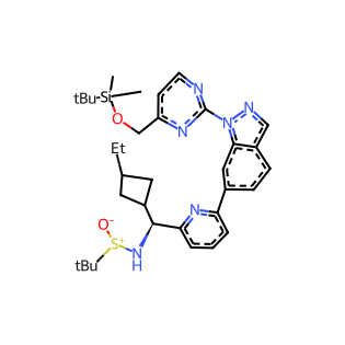 CCC1CC([C@H](N[S+]([O-])C(C)(C)C)c2cccc(-c3ccc4cnn(-c5nccc(CO[Si](C)(C)C(C)(C)C)n5)c4c3)n2)C1